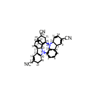 N#CC1=CC2c3cccc(N4C5=C(C=C(C#N)CC5)C5=CC=CCC54)c3N(C3=CC=CC(C#N)C3)C2C=C1